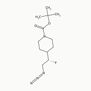 CC(C)(C)OC(=O)N1CCC([C@H](F)CN=[N+]=[N-])CC1